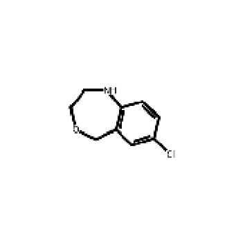 Clc1ccc2c(c1)COCCN2